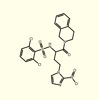 O=C(C(CCn1ccnc1[N+](=O)[O-])NS(=O)(=O)c1c(Cl)cccc1Cl)N1CCc2ccccc2C1